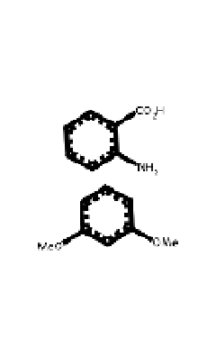 COc1cccc(OC)c1.Nc1ccccc1C(=O)O